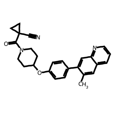 Cc1cc2cccnc2cc1-c1ccc(OC2CCN(C(=O)C3(C#N)CC3)CC2)cc1